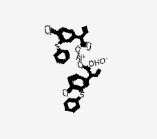 C=CC(C(=O)[O][Al+][O]C(=O)C(C=C)c1ccc(Cl)c(Sc2ccccc2)c1)c1ccc(Cl)c(Sc2ccccc2)c1.[OH-]